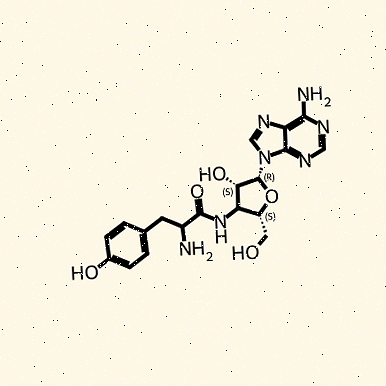 Nc1ncnc2c1ncn2[C@@H]1O[C@H](CO)C(NC(=O)C(N)Cc2ccc(O)cc2)[C@@H]1O